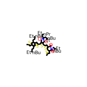 CCCCC(CC)CCc1c2cc(-c3sc(-c4cc5c(=O)n(CC(CC)CCCC)c(=O)c6cc(C)sc6c5s4)c4c3C(=O)N(C(CC(CC)CCC)CC(CC)CCCC)C4=O)sc2c(CCC(CC)CCCC)c2cc(C)sc12